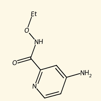 CCONC(=O)c1cc(N)ccn1